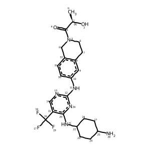 C[C@@H](O)C(=O)N1CCc2cc(Nc3ncc(C(F)(F)F)c(NC4CCC(N)CC4)n3)ccc2C1